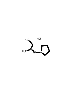 CCN(C)PN1CCCC1.Cl